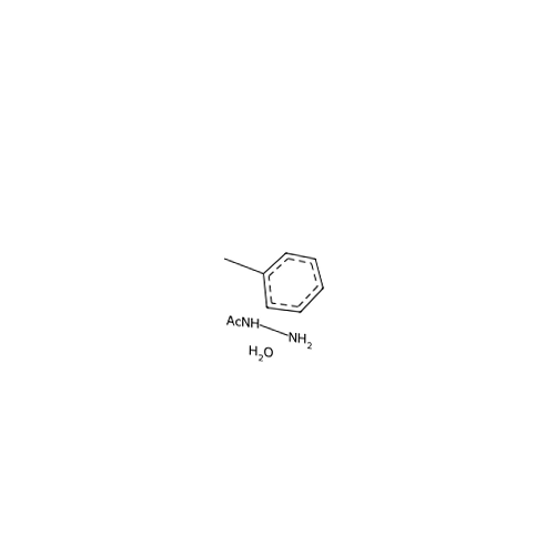 CC(=O)NN.Cc1ccccc1.O